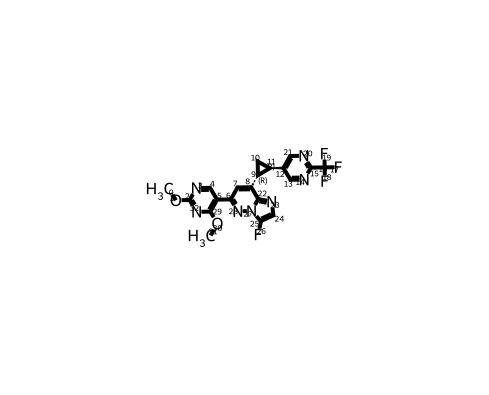 COc1ncc(-c2cc([C@@H]3C[C@H]3c3cnc(C(F)(F)F)nc3)c3ncc(F)n3n2)c(OC)n1